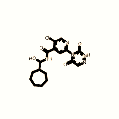 O=C(NC(O)C1CCCCCC1)c1cc(-n2c(=O)cn[nH]c2=O)ncc1Cl